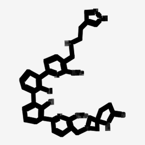 COc1nc(-c2cccc(-c3cccc(-c4ccc(CN5CC6(CCC(=O)N6)C5)c(OC)n4)c3Cl)c2Cl)ccc1CNCCc1cn[nH]c1